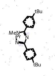 CN/C(=N\C(=N/C(C)C)c1ccc(C(C)(C)C)cc1)c1ccc(C(C)(C)C)cc1